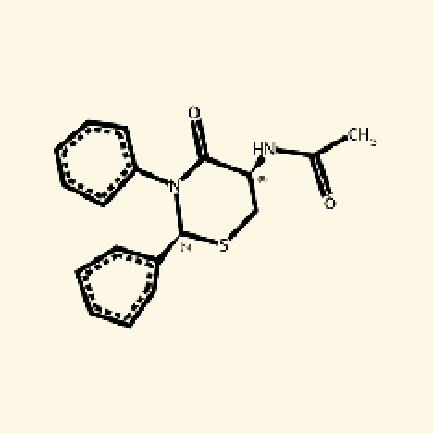 CC(=O)N[C@H]1CS[C@@H](c2ccccc2)N(c2ccccc2)C1=O